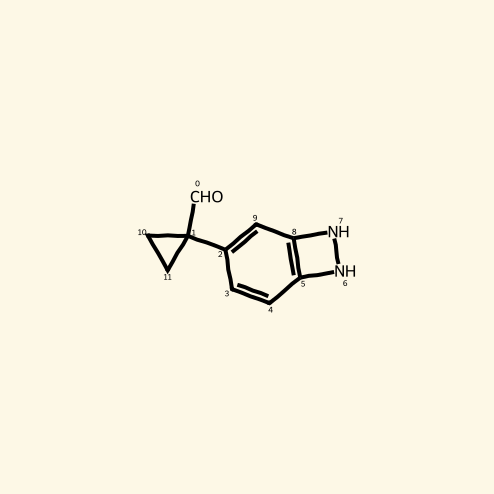 O=CC1(c2ccc3[nH][nH]c3c2)CC1